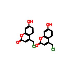 O=c1cc(CCl)c2ccc(O)cc2o1.O=c1cc(CCl)c2ccc(O)cc2o1